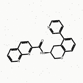 O=C(N[C@@H]1COc2cccc(-c3cccnc3)c2C1)c1ccc2cccnc2n1